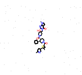 Cc1ccc(-c2sc(C(=O)N3CC[C@@H](C(=O)N4CCC(O)(Cn5cnc6c(ccn6C)c5=O)CC4)[C@H](c4ccccc4)C3)cc2C)cn1